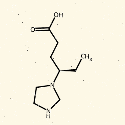 CC[C@H](CCC(=O)O)N1CCNC1